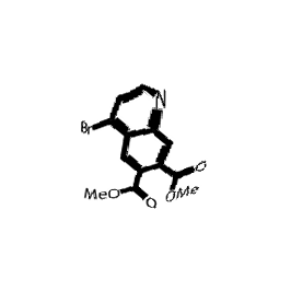 COC(=O)c1cc2nccc(Br)c2cc1C(=O)OC